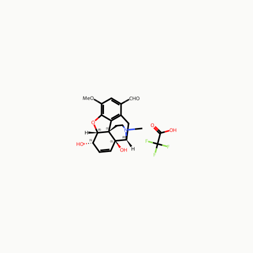 COc1cc(C=O)c2c3c1O[C@H]1[C@@H](O)C=C[C@@]4(O)[C@@H](C2)N(C)CC[C@]314.O=C(O)C(F)(F)F